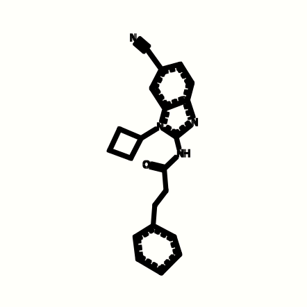 N#Cc1ccc2nc(NC(=O)CCc3ccccc3)n(C3CCC3)c2c1